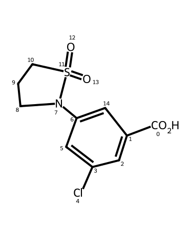 O=C(O)c1cc(Cl)cc(N2CCCS2(=O)=O)c1